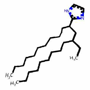 CCCCCCCCCCC(CC(CC)CCCCCCCCC)c1ncc[nH]1